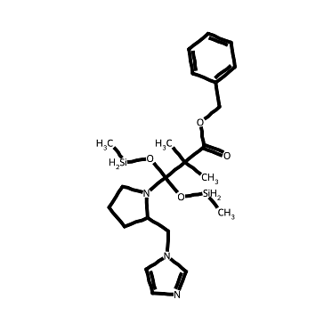 C[SiH2]OC(O[SiH2]C)(N1CCCC1Cn1ccnc1)C(C)(C)C(=O)OCc1ccccc1